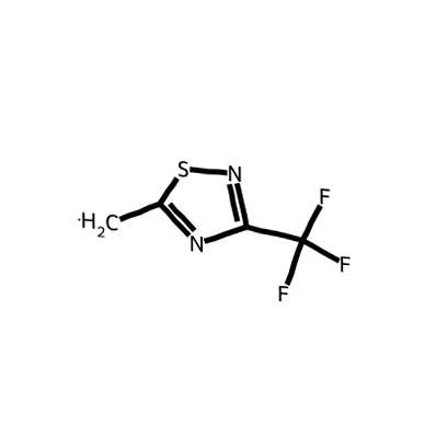 [CH2]c1nc(C(F)(F)F)ns1